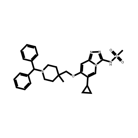 CC1(COc2cc3nnc(NS(C)(=O)=O)n3cc2C2CC2)CCN(C(c2ccccc2)c2ccccc2)CC1